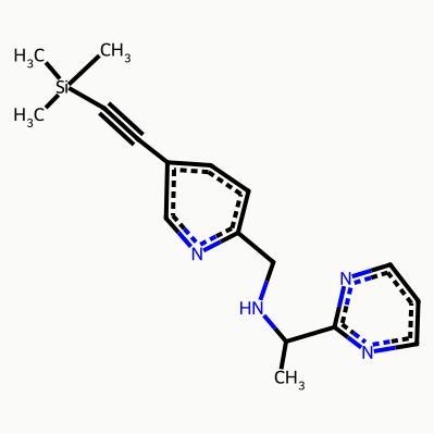 CC(NCc1ccc(C#C[Si](C)(C)C)cn1)c1ncccn1